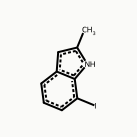 Cc1cc2cccc(I)c2[nH]1